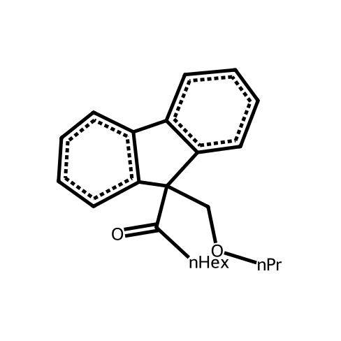 CCCCCCC(=O)C1(COCCC)c2ccccc2-c2ccccc21